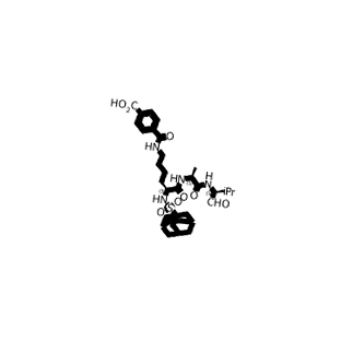 CC(C)[C@@H](C=O)NC(=O)[C@H](C)NC(=O)[C@H](CCCCNC(=O)c1ccc(C(=O)O)cc1)NS(=O)(=O)C12CC3CC(CC(C3)C1)C2